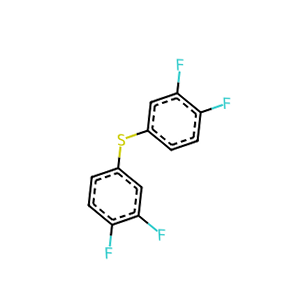 Fc1ccc(Sc2ccc(F)c(F)c2)cc1F